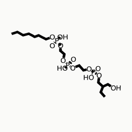 CCCCCCCOP(=O)(O)OCCOP(=O)(O)OCCOP(=O)(O)OCC(CC)CO